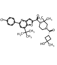 CC(C)(C)c1cc(-c2ccc(Cl)cc2)nc2cc(C(=O)N3CCN(C(=O)[C@H]4C[C@@](C)(O)C4)CC3(C)C)oc12